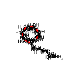 CNC(CSCC1O[C@@H]2O[C@@H]3C(CO)O[C@H](O[C@@H]4C(CO)O[C@H](O[C@@H]5C(CO)O[C@H](O[C@@H]6C(C)O[C@H](O[C@@H]7C(CO)O[C@H](O[C@@H]8C(CO)O[C@H](O[C@H]1[C@H](O)C2O)C(O)[C@H]8O)C(O)[C@H]7O)C(O)[C@H]6O)C(O)[C@H]5O)C(O)[C@H]4O)C(O)[C@H]3O)C(=O)NCCC(=O)OCC(=O)OCOP(=O)(O)OC[C@H]1O[C@@H](n2ccc(N)nc2=O)C(F)(F)[C@@H]1O